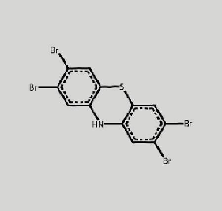 Brc1cc2c(cc1Br)Sc1cc(Br)c(Br)cc1N2